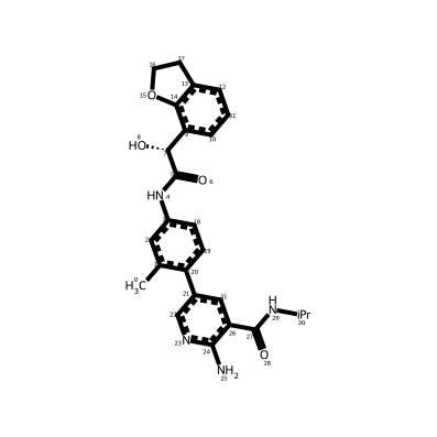 Cc1cc(NC(=O)[C@H](O)c2cccc3c2OCC3)ccc1-c1cnc(N)c(C(=O)NC(C)C)c1